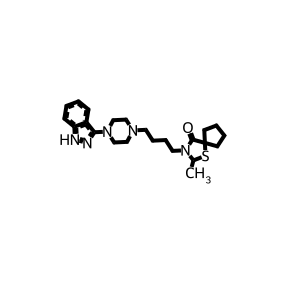 CC1SC2(CCCC2)C(=O)N1CCCCN1CCN(c2n[nH]c3ccccc23)CC1